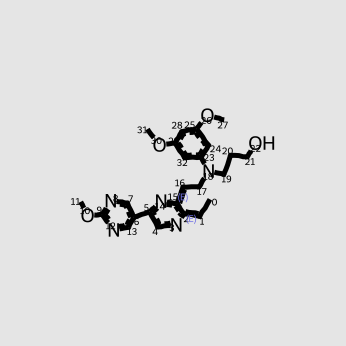 C/C=c1/ncc(-c2cnc(OC)nc2)n/c1=C/CN(CCCO)c1cc(OC)cc(OC)c1